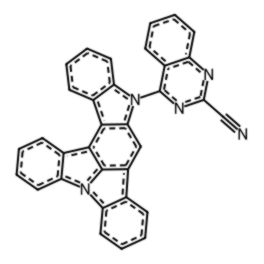 N#Cc1nc(-n2c3ccccc3c3c4c5ccccc5n5c6ccccc6c(cc32)c45)c2ccccc2n1